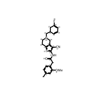 COc1cc(C)ccc1CC(=O)Nc1sc2c(c1C#N)CN(CC1C=CC=C(F)C1)CC2